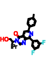 Cc1ccc(-c2cc3c(=O)n(C(CO)C(C)C)cnc3c(-c3cc(F)cc(F)c3)n2)cc1